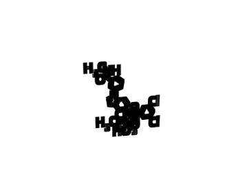 CNC(=O)c1cccc(-n2ccc3cc(N(C(C(=O)O)C(C)(C)C)S(=O)(=O)c4cc(Cl)cc(Cl)c4)ccc32)c1